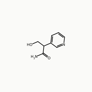 NC(=O)C(CO)c1cccnc1